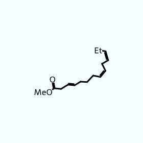 CC/C=C\C/C=C\CCC/C=C/CC(=O)OC